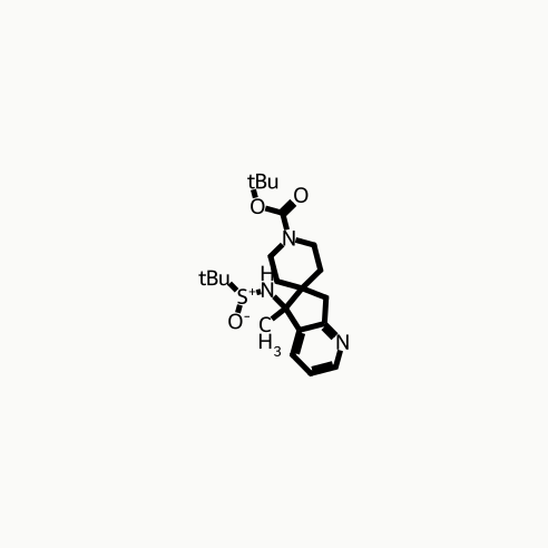 CC(C)(C)OC(=O)N1CCC2(CC1)Cc1ncccc1C2(C)N[S+]([O-])C(C)(C)C